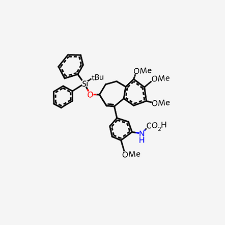 COc1ccc(C2=CC(O[Si](c3ccccc3)(c3ccccc3)C(C)(C)C)CCc3c2cc(OC)c(OC)c3OC)cc1NC(=O)O